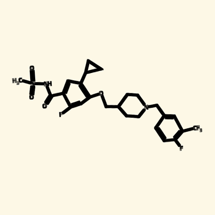 CS(=O)(=O)NC(=O)c1cc(C2CC2)c(OCC2CCN(Cc3ccc(F)c(C(F)(F)F)c3)CC2)cc1F